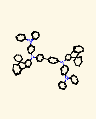 c1ccc(N(c2ccccc2)c2ccc(N(c3ccc(-c4ccc(N(c5ccc(N(c6ccccc6)c6ccccc6)cc5)c5ccc6c(c5)C5(CCCCC5)c5ccccc5-6)cc4)cc3)c3ccc4c(c3)C3(CCCCC3)c3ccccc3-4)cc2)cc1